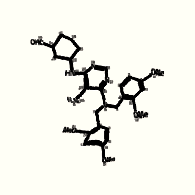 COc1ccc(CN(Cc2ccc(OC)cc2OC)c2ncnc(NC3CCCC(C=O)C3)c2N)c(OC)c1